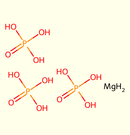 O=P(O)(O)O.O=P(O)(O)O.O=P(O)(O)O.[MgH2]